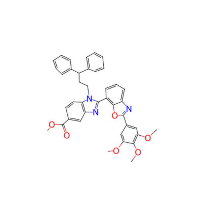 COC(=O)c1ccc2c(c1)nc(-c1cccc3nc(-c4cc(OC)c(OC)c(OC)c4)oc13)n2CCC(c1ccccc1)c1ccccc1